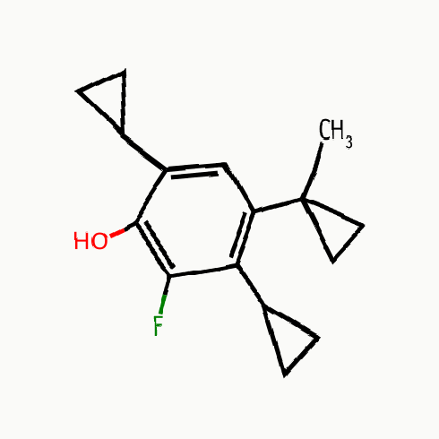 CC1(c2cc(C3CC3)c(O)c(F)c2C2CC2)CC1